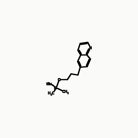 CC(C)(C)[Si](C)(C)OCCCc1ccc2ncccc2c1